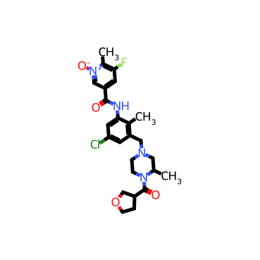 Cc1c(CN2CCN(C(=O)C3CCOC3)C(C)C2)cc(Cl)cc1NC(=O)c1cc(F)c(C)[n+]([O-])c1